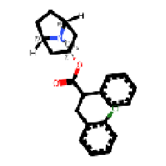 CN1[C@@H]2CC[C@H]1C[C@@H](OC(=O)C(Cc1ccccc1Cl)c1ccccc1)C2